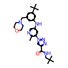 Cc1ncc(Nc2cc(CN3CCOCC3)cc(C(C)(C)C)c2)cc1-n1cc(C(=O)NCC(C)(C)C)nn1